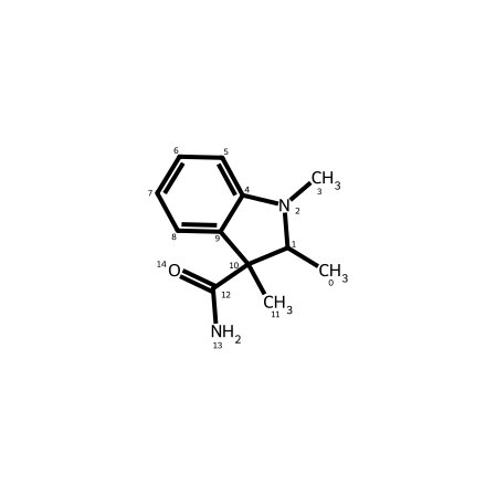 CC1N(C)c2ccccc2C1(C)C(N)=O